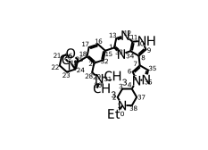 CCN1CCC(n2cc(-c3c[nH]c4ncc(-c5ccc(N6CC7CCC6CO7)c(CN(C)C)c5)nc34)cn2)CC1